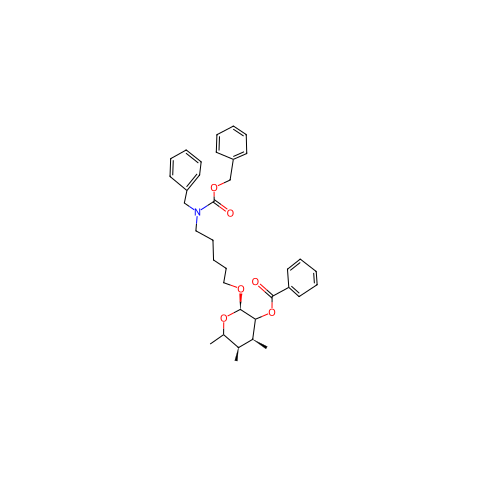 CC1O[C@@H](OCCCCCN(Cc2ccccc2)C(=O)OCc2ccccc2)C(OC(=O)c2ccccc2)[C@@H](C)[C@H]1C